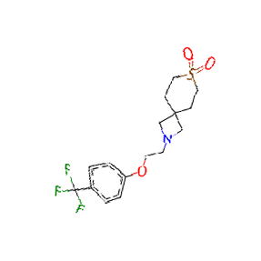 O=S1(=O)CCC2(CC1)CN(CCOc1ccc(C(F)(F)F)cc1)C2